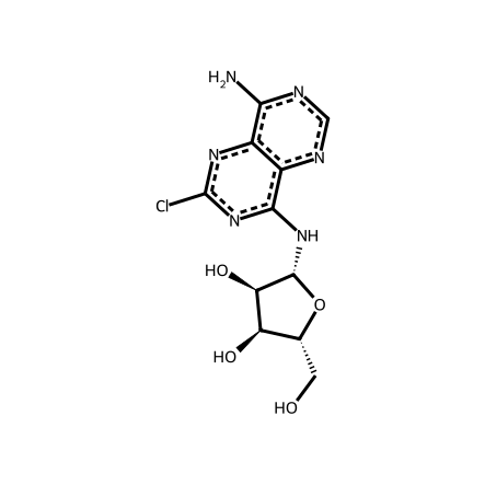 Nc1ncnc2c(N[C@@H]3O[C@H](CO)[C@@H](O)[C@H]3O)nc(Cl)nc12